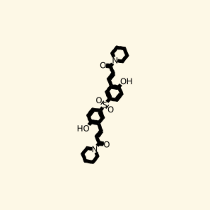 O=C(/C=C/c1cc(S(=O)(=O)c2ccc(O)c(/C=C/C(=O)N3CCCCC3)c2)ccc1O)N1CCCCC1